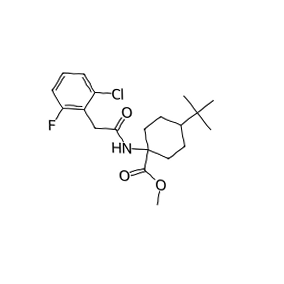 COC(=O)C1(NC(=O)Cc2c(F)cccc2Cl)CCC(C(C)(C)C)CC1